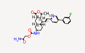 C[C@H]1OC(=O)[C@@H]2C[C@@H]3C[C@@H](NC(=O)OCC(N)=O)CC[C@H]3[C@H](/C=C/c3ccc(-c4cccc(F)c4)cn3)[C@H]12